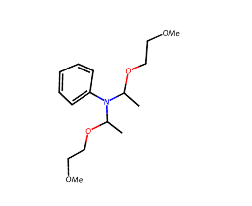 COCCOC(C)N(c1ccccc1)C(C)OCCOC